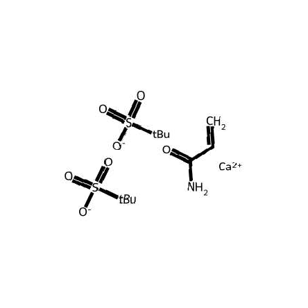 C=CC(N)=O.CC(C)(C)S(=O)(=O)[O-].CC(C)(C)S(=O)(=O)[O-].[Ca+2]